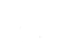 OC(c1ccc(F)cc1F)C1CC1